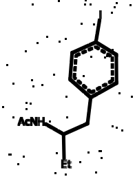 CCC(Cc1ccc(I)cc1)NC(C)=O